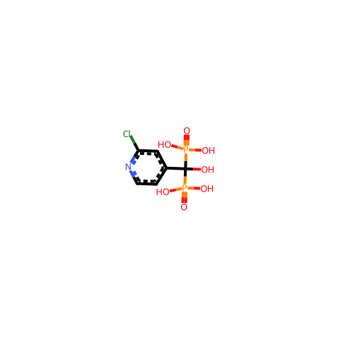 O=P(O)(O)C(O)(c1ccnc(Cl)c1)P(=O)(O)O